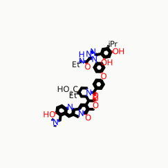 CCNC(=O)c1nnc(-c2cc(C(C)C)c(O)cc2O)n1-c1ccc(Oc2ccc(C(=O)N3CCC(CC)(C(=O)O)CC3C3C(=O)OCc4c3cc3n(c4=O)Cc4cc5c(CN(C)C)c(O)ccc5nc4-3)cc2)cc1